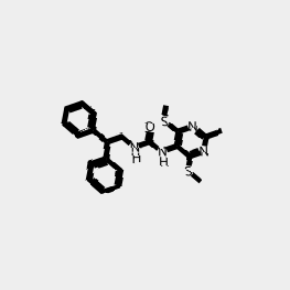 CSc1nc(C)nc(SC)c1NC(=O)NCC(c1ccccc1)c1ccccc1